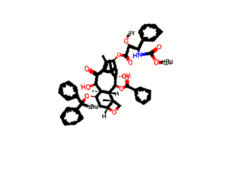 CC1=C2C(=O)[C@H](O)[C@]3(C)[C@@H](OC(c4ccccc4)(c4ccccc4)C(C)(C)C)C[C@H]4OC[C@@]4(C)[C@H]3[C@H](OC(=O)c3ccccc3)[C@](O)(C[C@@H]1OC(=O)[C@H](OC(C)C)[C@@H](NC(=O)OC(C)(C)C)c1ccccc1)C2(C)C